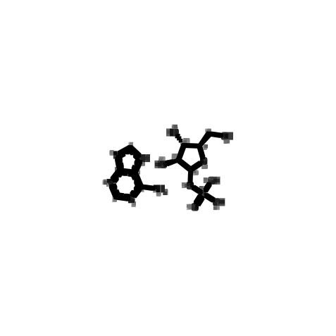 Nc1ncnc2nc[nH]c12.O=P(O)(O)OC1O[C@H](CO)[C@@H](O)[C@@H]1O